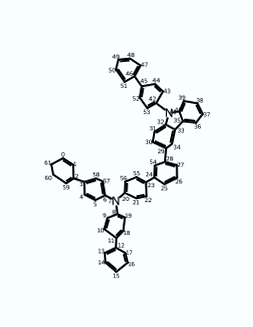 C1=CC(c2ccc(N(c3ccc(-c4ccccc4)cc3)c3ccc(-c4cccc(-c5ccc6c(c5)c5ccccc5n6-c5ccc(-c6ccccc6)cc5)c4)cc3)cc2)=CCC1